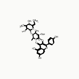 CC(=O)OCC1O[C@@H](O[C@H]2C(C)O[C@H](Oc3c(-c4ccc(O)cc4)oc4cc(O)cc(O)c4c3=O)[C@@H](O)C2O)C(O)C(O)[C@@H]1O